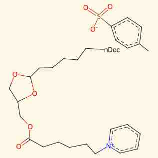 CCCCCCCCCCCCCCCC1OCC(COC(=O)CCCCC[n+]2ccccc2)O1.Cc1ccc(S(=O)(=O)[O-])cc1